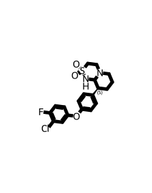 O=S1(=O)CCN2CCC[C@@H](c3ccc(Oc4ccc(F)c(Cl)c4)cc3)C2N1